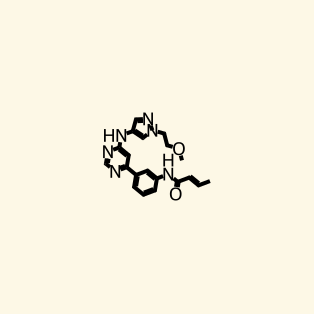 CC=CC(=O)Nc1cccc(-c2cc(Nc3cnn(CCOC)c3)ncn2)c1